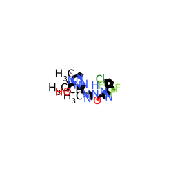 CC(c1cnc(N2CCC2[C@@H](C)N2CC(C(C)(C)O)C2)nc1)n1cc(NC(=O)c2cncc(-c3c(C(F)F)ccc(Cl)c3F)n2)cn1